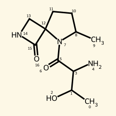 CC(O)C(N)C(=O)N1C(C)CCC12CNC2=O